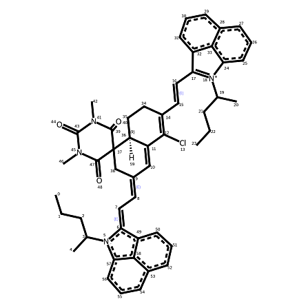 CCCC(C)n1/c(=C/C=C2/C=C3C(Cl)=C(/C=C/C4=[N+](C(C)CCC)c5cccc6cccc4c56)CC[C@@H]3C3(C2)C(=O)N(C)C(=O)N(C)C3=O)c2cccc3cccc1c32